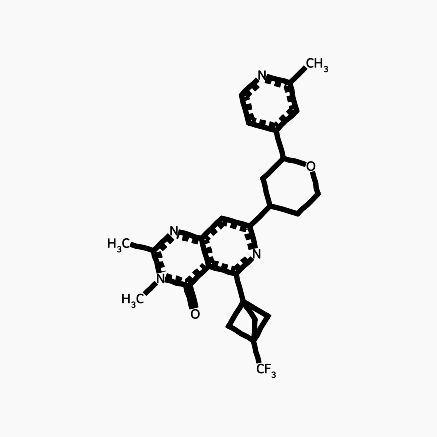 Cc1cc(C2CC(c3cc4nc(C)n(C)c(=O)c4c(C45CC(C(F)(F)F)(C4)C5)n3)CCO2)ccn1